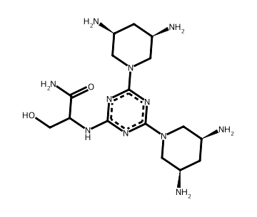 NC(=O)C(CO)Nc1nc(N2C[C@H](N)C[C@H](N)C2)nc(N2C[C@H](N)C[C@H](N)C2)n1